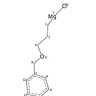 [Cl][Mg][CH2]CCOCc1ccccc1